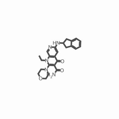 CCn1c(N2CCOCC2)c(C(N)=O)c(=O)c2cc(NC3Cc4ccccc4C3)ncc21